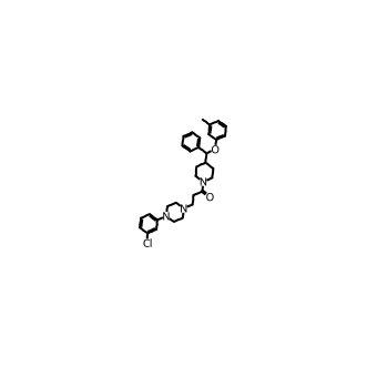 Cc1cccc(OC(c2ccccc2)C2CCN(C(=O)CCN3CCN(c4cccc(Cl)c4)CC3)CC2)c1